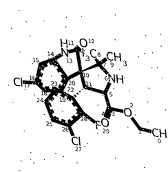 CCOC(=O)C1NC(C)(C)[C@@]2(C(=O)Nc3cc(Cl)ccc32)[C@H]1c1cccc(Cl)c1F